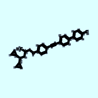 C[C@@H](COc1ccc(C#Cc2ccc(-c3ccc(Cl)cc3)cn2)cc1)CN(C1CC1)C1CC1